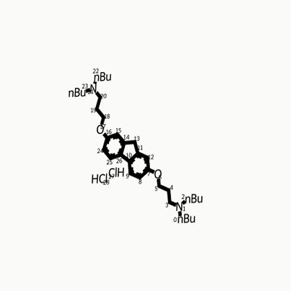 CCCCN(CCCC)CCCOc1ccc2c(c1)Cc1cc(OCCCN(CCCC)CCCC)ccc1-2.Cl.Cl